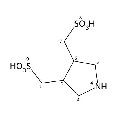 O=S(=O)(O)CC1CNCC1CS(=O)(=O)O